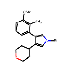 CCn1cc(-c2cccc(OC)c2C)c(C2CCOCC2)c1